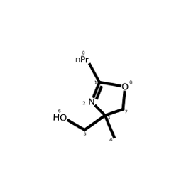 CCCC1=NC(C)(CO)CO1